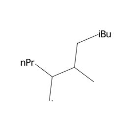 [CH2]C(CCC)C(C)CC(C)CC